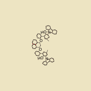 Cc1cc(-c2ccccc2OC(C[C@@H](Oc2ccccc2-c2cc(C)cc(-n3c4ccccc4c4ccccc43)c2O)c2ccccc2)c2ccccc2)c(O)c(-n2c3ccccc3c3ccccc32)c1